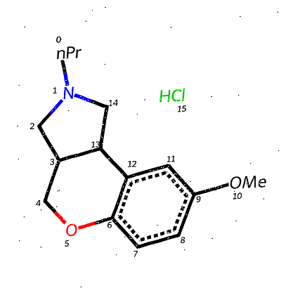 CCCN1CC2COc3ccc(OC)cc3C2C1.Cl